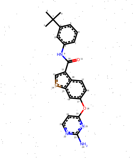 CC(C)(C)c1cccc(NC(=O)c2csc3cc(Oc4ccnc(N)n4)ccc23)c1